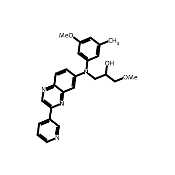 COCC(O)CN(c1cc(C)cc(OC)c1)c1ccc2ncc(-c3cccnc3)nc2c1